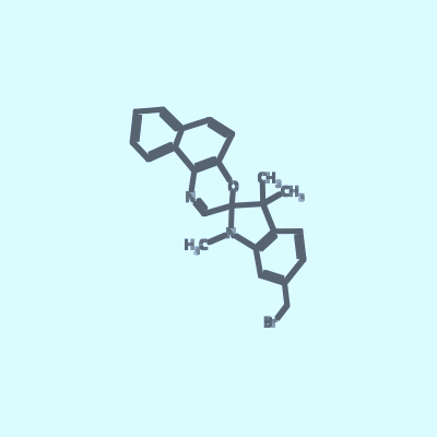 CN1c2cc(CBr)ccc2C(C)(C)C12C=Nc1c(ccc3ccccc13)O2